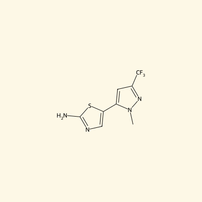 Cn1nc(C(F)(F)F)cc1-c1cnc(N)s1